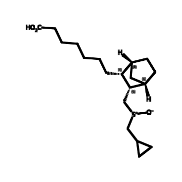 O=C(O)CCCCCC[C@@H]1[C@@H]2CC[C@@H](C2)[C@@H]1C[S+]([O-])CC1CC1